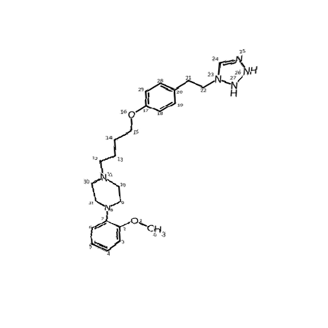 COc1ccccc1N1CCN(CCCCOc2ccc(CCN3C=NNN3)cc2)CC1